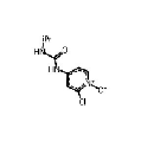 CC(C)NC(=O)Nc1cc[n+]([O-])c(Cl)c1